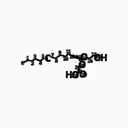 CCCCCCCCCCCCC#CC(OCCO)OCC(=O)O